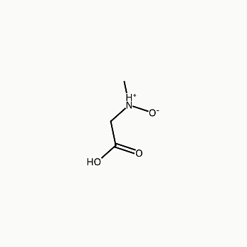 C[NH+]([O-])CC(=O)O